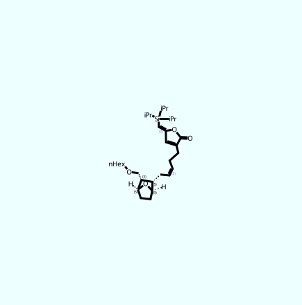 CCCCCCOC[C@@H]1[C@H](C/C=C\CCC2=C/C(=C/[Si](C(C)C)(C(C)C)C(C)C)OC2=O)[C@H]2CC[C@@H]1O2